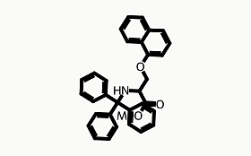 COC(=O)C(COc1cccc2ccccc12)NC(c1ccccc1)(c1ccccc1)c1ccccc1